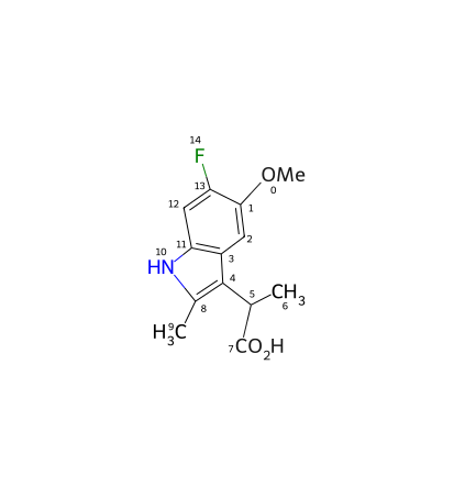 COc1cc2c(C(C)C(=O)O)c(C)[nH]c2cc1F